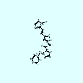 Cn1ccnc1/C=C/c1csc(NC(=O)c2cccn2Cc2ccncc2)n1